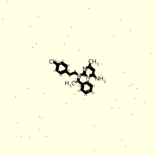 Cc1cc(N)nc(N(CCc2ccc(Cl)cc2)[C@@H](C)c2ccccc2)n1